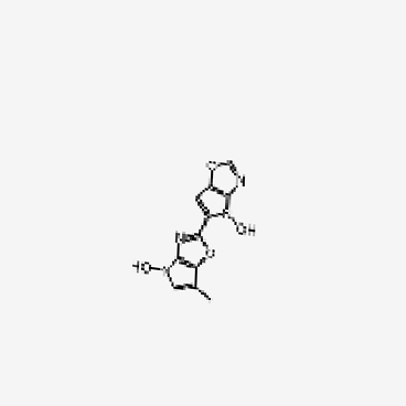 Cc1cn(O)c2nc(-c3cc4ocnc4n3O)oc12